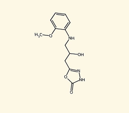 COc1ccccc1NCC(O)Cc1n[nH]c(=O)o1